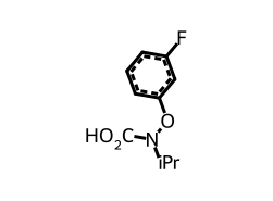 CC(C)N(Oc1cccc(F)c1)C(=O)O